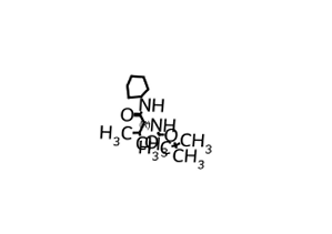 CC(C)[C@@H](NC(=O)OC(C)(C)C)C(=O)NC1CCCCC1